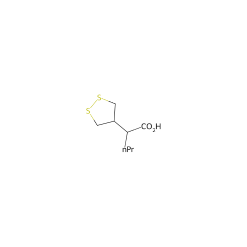 CCCC(C(=O)O)C1CSSC1